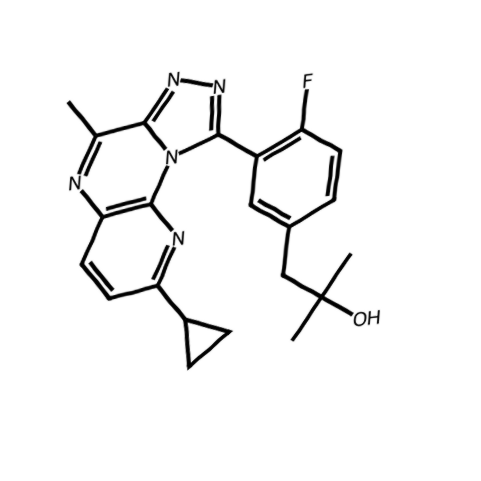 Cc1nc2ccc(C3CC3)nc2n2c(-c3cc(CC(C)(C)O)ccc3F)nnc12